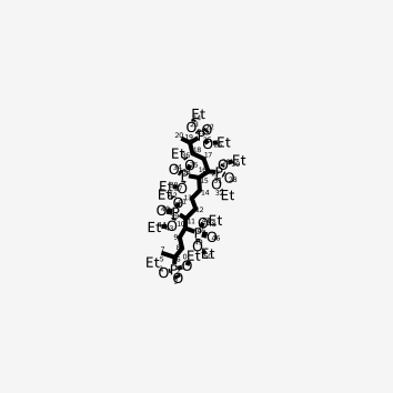 CCOP(=O)(OCC)C(C)CCC(C(CCCC(C(CCC(C)P(=O)(OCC)OCC)P(=O)(OCC)OCC)P(=O)(OCC)OCC)P(=O)(OCC)OCC)P(=O)(OCC)OCC